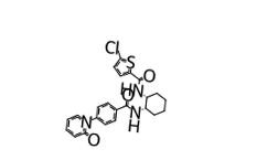 O=C(N[C@H]1CCCC[C@H]1NC(=O)c1ccc(Cl)s1)c1ccc(-n2ccccc2=O)cc1